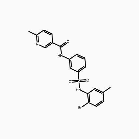 Cc1ccc(Br)c(NS(=O)(=O)c2cccc(NC(=O)c3ccc(C)nc3)c2)c1